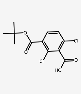 CC(C)(C)OC(=O)c1ccc(Cl)c(C(=O)O)c1Cl